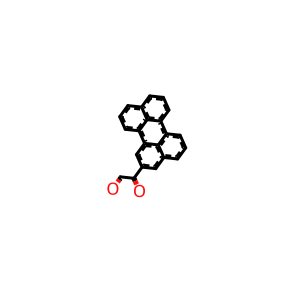 O=CC(=O)c1cc2cccc3c4cccc5cccc(c(c1)c23)c54